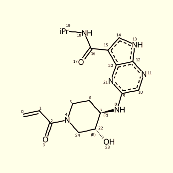 C=CC(=O)N1CC[C@@H](Nc2cnc3[nH]cc(C(=O)NC(C)C)c3n2)[C@H](O)C1